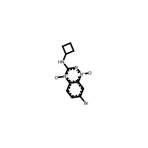 [O-][n+]1nc(NC2CCC2)[n+]([O-])c2ccc(Br)cc21